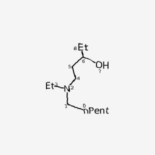 CCCCCCN(CC)CCC(O)CC